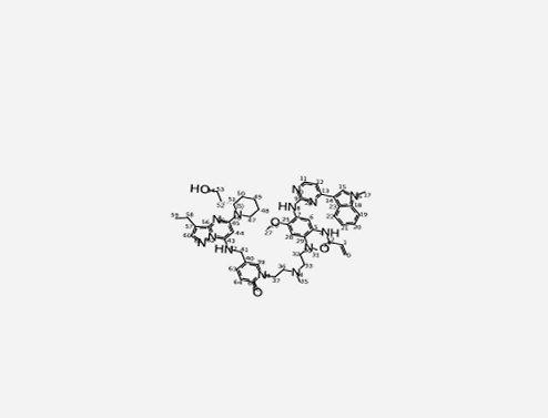 C=CC(=O)Nc1cc(Nc2nccc(-c3cn(C)c4ccccc34)n2)c(OC)cc1N(C)CCN(C)CCn1cc(CNc2cc(N3CCCC[C@H]3CCO)nc3c(CC)cnn23)ccc1=O